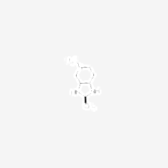 C=C1NC2CCN(C)CC2N1